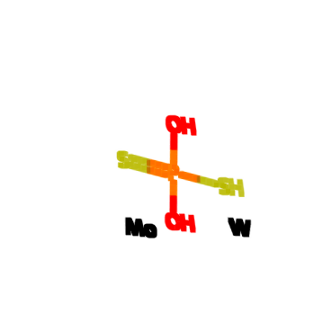 OP(O)(=S)S.[Mo].[W]